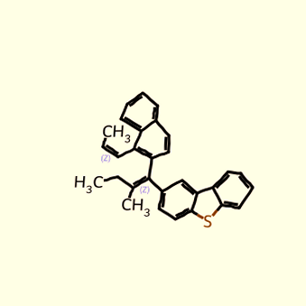 C/C=C\c1c(/C(=C(/C)CC)c2ccc3sc4ccccc4c3c2)ccc2ccccc12